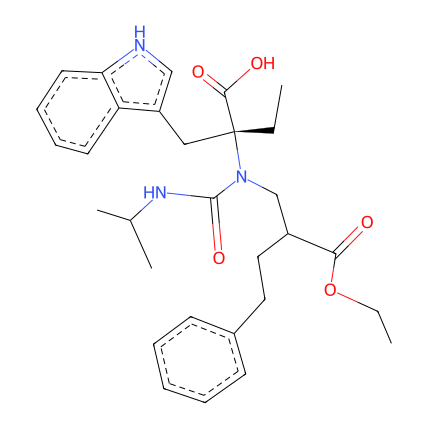 CCOC(=O)C(CCc1ccccc1)CN(C(=O)NC(C)C)[C@](CC)(Cc1c[nH]c2ccccc12)C(=O)O